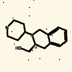 OC[C@@H]1Cc2ccccc2CN1C1CC[N]CC1